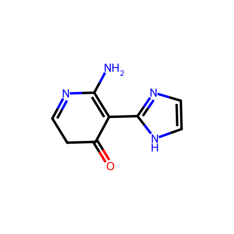 NC1=C(c2ncc[nH]2)C(=O)CC=N1